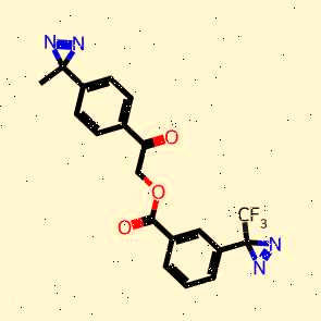 CC1(c2ccc(C(=O)COC(=O)c3cccc(C4(C(F)(F)F)N=N4)c3)cc2)N=N1